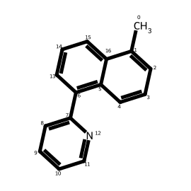 Cc1cccc2c(-c3ccccn3)cccc12